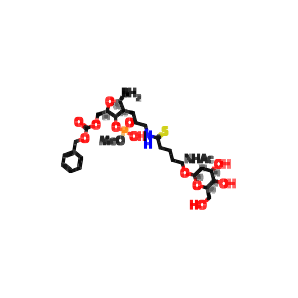 B[C@@H]1O[C@H](COC(=O)OCc2ccccc2)C(OP(=O)(O)OC)[C@@H]1CCCNC(=S)CCCCO[C@@H]1O[C@H](CO)[C@H](O)[C@H](O)[C@H]1NC(C)=O